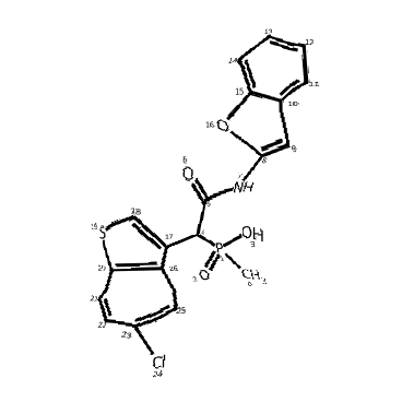 CP(=O)(O)C(C(=O)Nc1cc2ccccc2o1)c1csc2ccc(Cl)cc12